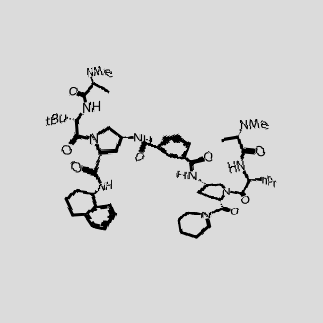 CCC[C@H](NC(=O)[C@H](C)NC)C(=O)N1C[C@@H](NC(=O)c2cccc(C(=O)N[C@H]3C[C@@H](C(=O)N[C@@H]4CCCc5ccccc54)N(C(=O)[C@@H](NC(=O)[C@H](C)NC)C(C)(C)C)C3)c2)C[C@H]1C(=O)N1CCCCC1